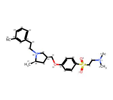 CC(=O)N(C)CCS(=O)(=O)c1ccc(OC[C@H]2C[C@@H](C)N(CCc3cccc(C#N)c3)C2)cc1